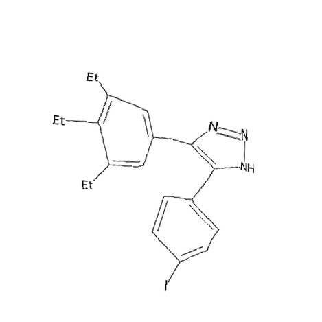 CCc1cc(-c2nn[nH]c2-c2ccc(I)cc2)cc(CC)c1CC